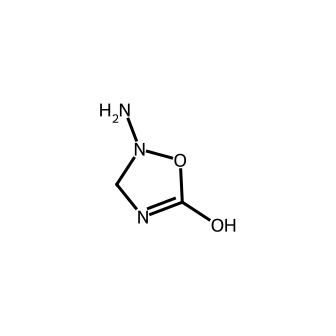 NN1CN=C(O)O1